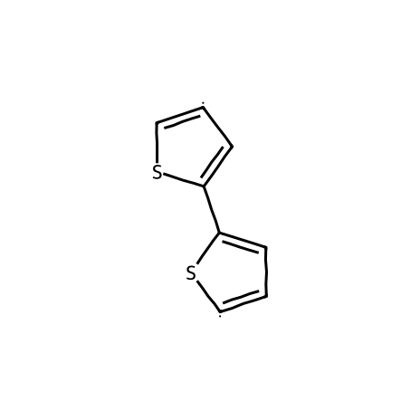 [c]1csc(-c2cc[c]s2)c1